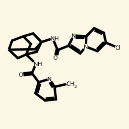 Cc1cccc(C(=O)NC23CC4CC(C2)CC(NC(=O)c2cn5cc(Cl)ccc5n2)(C4)C3)n1